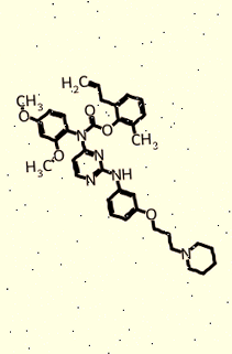 C=CCc1cccc(C)c1OC(=O)N(c1ccnc(Nc2cccc(OCCCN3CCCCC3)c2)n1)c1ccc(OC)cc1OC